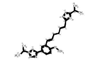 COc1ccc(-c2nnn(C(C)C)n2)cc1/C=C/CCCCc1nnc(C(C)C)o1